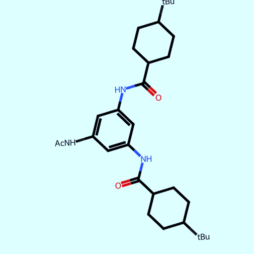 CC(=O)Nc1cc(NC(=O)C2CCC(C(C)(C)C)CC2)cc(NC(=O)C2CCC(C(C)(C)C)CC2)c1